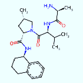 CC(C)[C@H](NC(=O)[C@H](C)N)C(=O)N1C[C@@H](C)C[C@H]1C(=O)N[C@@H]1CCCc2ccccc21